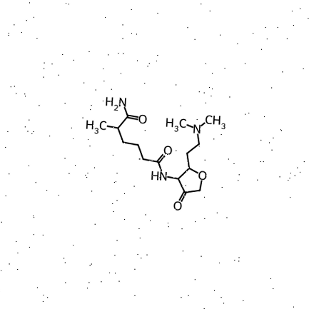 CC(CC[CH]C(=O)NC1C(=O)COC1CCN(C)C)C(N)=O